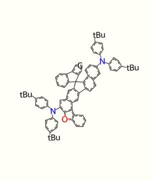 CC(C)(C)c1ccc(N(c2ccc(C(C)(C)C)cc2)c2ccc3c4c(ccc3c2)-c2cc3c(cc2C42c4ccccc4-c4ccccc42)cc(N(c2ccc(C(C)(C)C)cc2)c2ccc(C(C)(C)C)cc2)c2oc4ccccc4c23)cc1